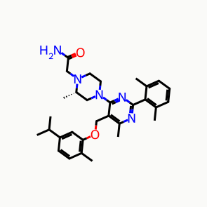 Cc1ccc(C(C)C)cc1OCc1c(C)nc(-c2c(C)cccc2C)nc1N1CCN(CC(N)=O)[C@@H](C)C1